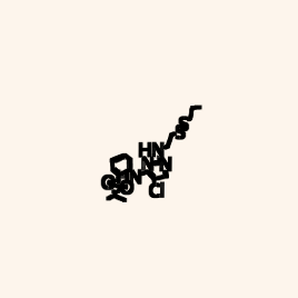 CCCSSCCNc1ncc(Cl)c(Nc2ccccc2S(=O)(=O)C(C)C)n1